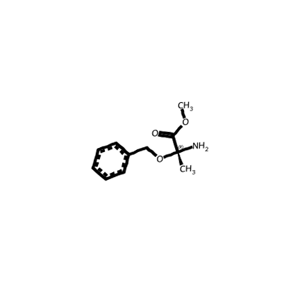 COC(=O)[C@](C)(N)OCc1ccccc1